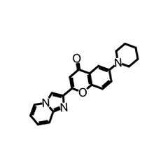 O=c1cc(-c2cn3ccccc3n2)oc2ccc(N3CCCCC3)cc12